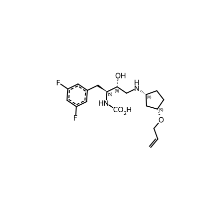 C=CCO[C@H]1CC[C@@H](NC[C@@H](O)[C@H](Cc2cc(F)cc(F)c2)NC(=O)O)C1